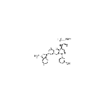 CNC(C)C(=O)Nc1cnc(-c2cccc(C#N)c2)n(Cc2cncc(-n3cc(C)c4cc(F)ccc43)c2)c1=O